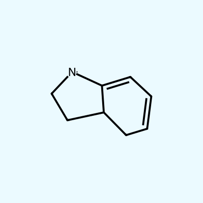 C1=CCC2CC[N]C2=C1